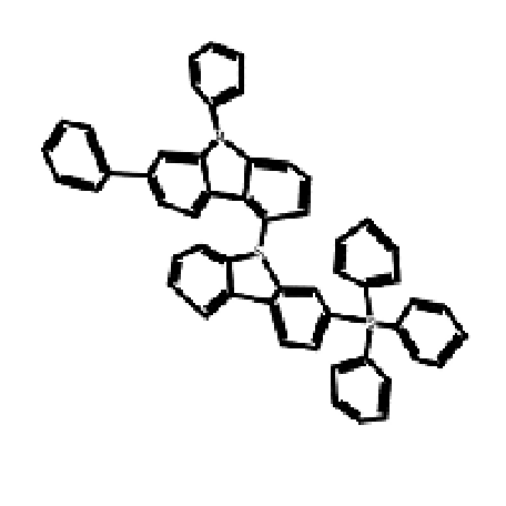 c1ccc(-c2ccc3c4c(-n5c6ccccc6c6ccc([Si](c7ccccc7)(c7ccccc7)c7ccccc7)cc65)cccc4n(-c4ccccc4)c3c2)cc1